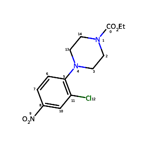 CCOC(=O)N1CCN(c2ccc([N+](=O)[O-])cc2Cl)CC1